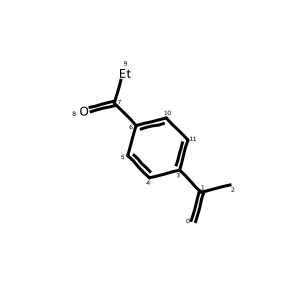 C=C(C)c1ccc(C(=O)CC)cc1